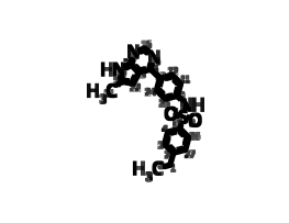 CCc1ccc(S(=O)(=O)Nc2ccc(-c3ncnc4[nH]c(C)cc34)cc2)cc1